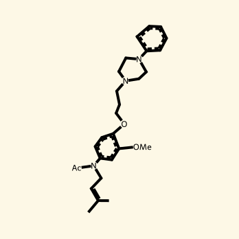 COc1cc(N(CC=C(C)C)C(C)=O)ccc1OCCCN1CCN(c2ccccc2)CC1